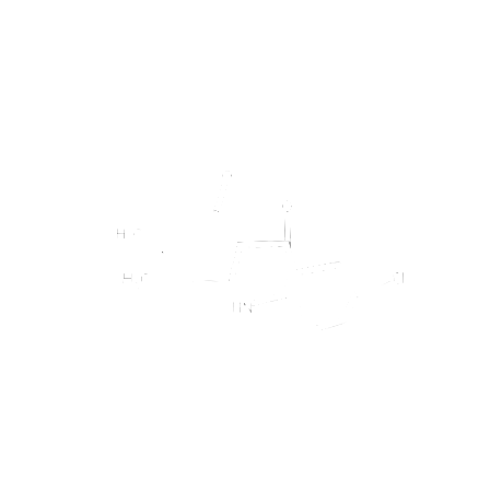 CC1(C)CC(=O)c2c([nH]c3ccc(Cl)cc3c2=O)C1